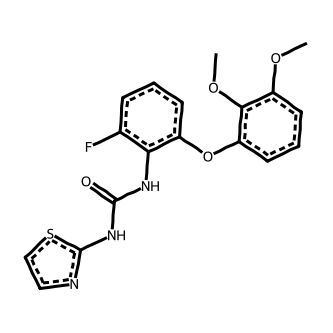 COc1cccc(Oc2cccc(F)c2NC(=O)Nc2nccs2)c1OC